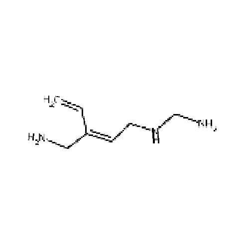 C=C/C(=C\CNCN)CN